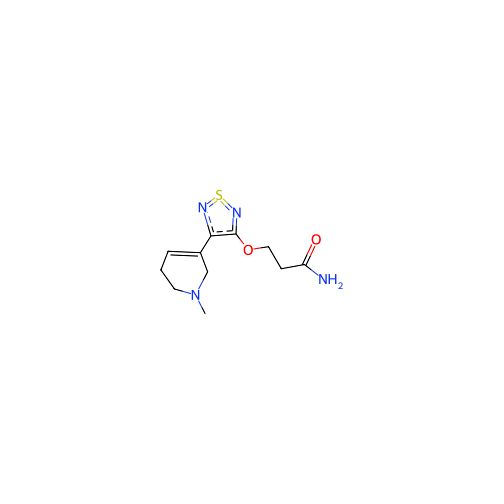 CN1CCC=C(c2nsnc2OCCC(N)=O)C1